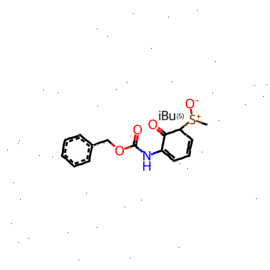 CC[C@H](C)C1([S+](C)[O-])C=CC=C(NC(=O)OCc2ccccc2)C1=O